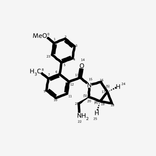 COc1cccc(-c2c(C)cccc2C(=O)N2C[C@H]3C[C@H]3[C@H]2CN)c1